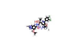 Cn1cc2cc(C(=O)NCC(O)(c3cc4c(c(-c5ccc(F)c(F)c5)n3)OC[C@@]4(N)C(F)(F)F)C3CC3)cc(OC3CC3)c2n1